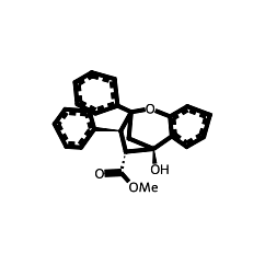 COC(=O)[C@@H]1[C@@H](c2ccccc2)C2(c3ccccc3)C[C@]1(O)c1ccccc1O2